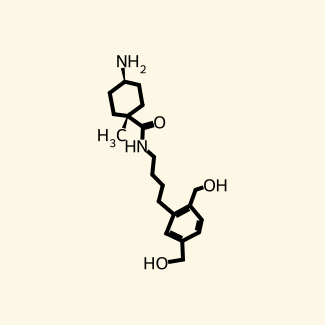 C[C@]1(C(=O)NCCCCc2cc(CO)ccc2CO)CC[C@H](N)CC1